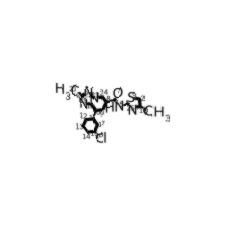 Cc1csc(NC(=O)c2cc(-c3cccc(Cl)c3)c3nc(C)nn3c2)n1